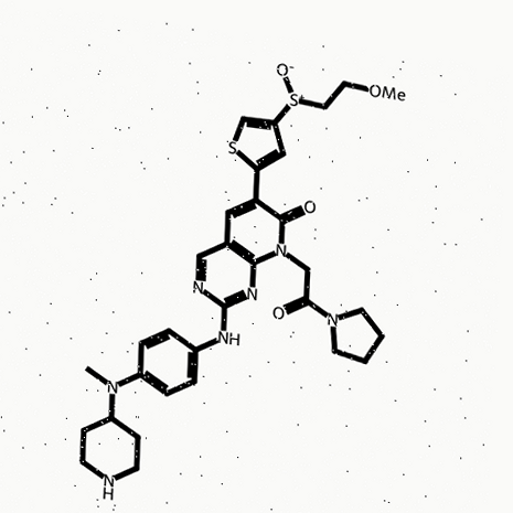 COCC[S+]([O-])c1csc(-c2cc3cnc(Nc4ccc(N(C)C5CCNCC5)cc4)nc3n(CC(=O)N3CCCC3)c2=O)c1